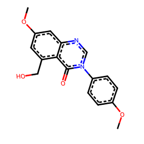 COc1ccc(-n2cnc3cc(OC)cc(CO)c3c2=O)cc1